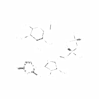 CC(=O)N[C@H]1C(O)O[C@H](CO)[C@@H](O)[C@@H]1O.O=c1ccn([C@@H]2O[C@H](COP(=O)(O)OP(=O)(O)O)[C@@H](O)[C@H]2O)c(=O)[nH]1